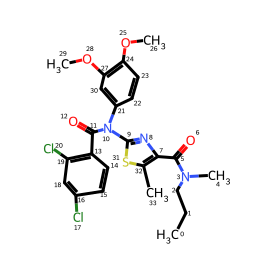 CCCN(C)C(=O)c1nc(N(C(=O)c2ccc(Cl)cc2Cl)c2ccc(OC)c(OC)c2)sc1C